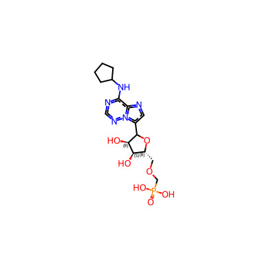 O=P(O)(O)COC[C@H]1OC(c2cnc3c(NC4CCCC4)ncnn23)[C@H](O)[C@@H]1O